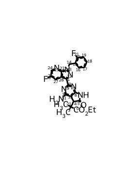 CCOC(=O)C(C)(C)C1C(=O)Nc2nc(-c3nn(Cc4ccccc4F)c4ncc(F)cc34)nc(N)c21